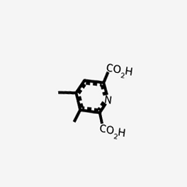 Cc1cc(C(=O)O)nc(C(=O)O)c1C